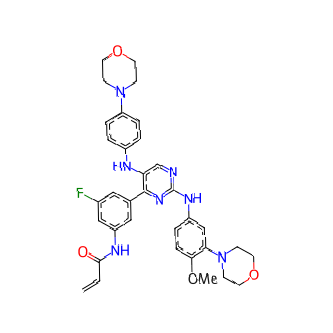 C=CC(=O)Nc1cc(F)cc(-c2nc(Nc3ccc(OC)c(N4CCOCC4)c3)ncc2Nc2ccc(N3CCOCC3)cc2)c1